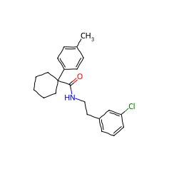 Cc1ccc(C2(C(=O)NCCc3cccc(Cl)c3)CCCCC2)cc1